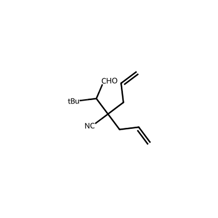 C=CCC(C#N)(CC=C)C(C=O)C(C)(C)C